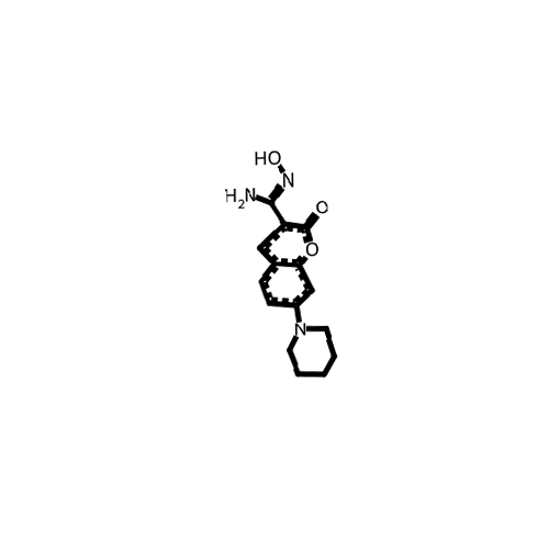 N/C(=N\O)c1cc2ccc(N3CCCCC3)cc2oc1=O